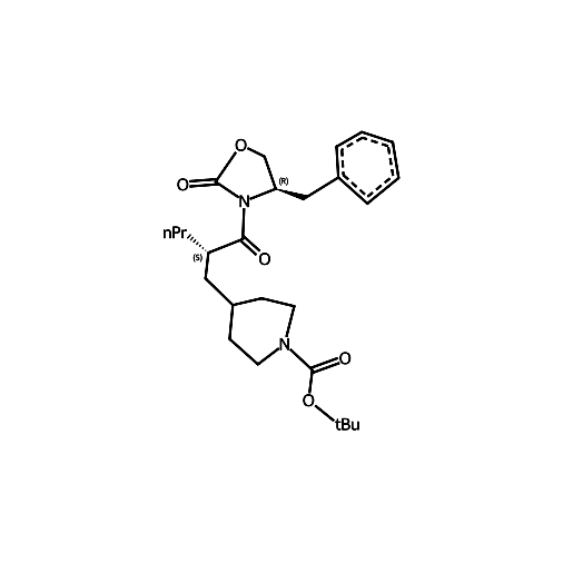 CCC[C@@H](CC1CCN(C(=O)OC(C)(C)C)CC1)C(=O)N1C(=O)OC[C@H]1Cc1ccccc1